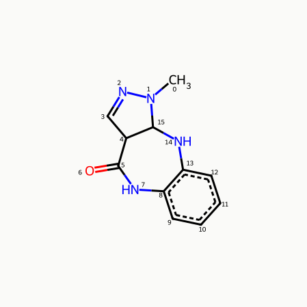 CN1N=CC2C(=O)Nc3ccccc3NC21